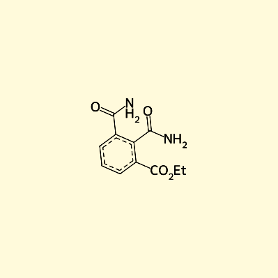 CCOC(=O)c1cccc(C(N)=O)c1C(N)=O